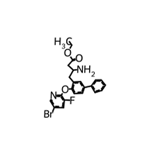 CCOC(=O)CC(N)Cc1cc(-c2ccccc2)ccc1Oc1ncc(Br)cc1F